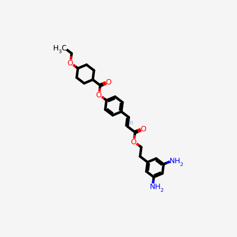 CCOC1CCC(C(=O)Oc2ccc(/C=C/C(=O)OCCc3cc(N)cc(N)c3)cc2)CC1